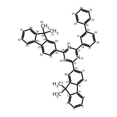 CC1(C)c2ccccc2-c2ccc(-c3nc(-c4cccc(-c5ccccc5)c4)nc(-c4ccc5c(c4)C(C)(C)c4ccccc4-5)n3)cc21